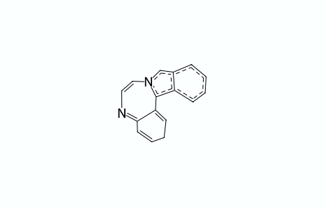 C1=CC2=NC=Cn3cc4ccccc4c3C2=CC1